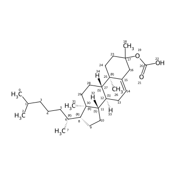 CC(C)CCC[C@@H](C)[C@H]1CC[C@H]2[C@@H]3CC=C4CC(C)(OC(=O)O)CC[C@]4(C)[C@H]3CC[C@]12C